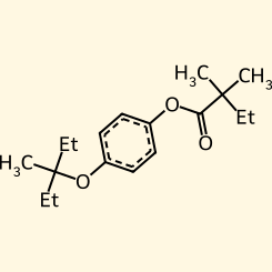 CCC(C)(CC)Oc1ccc(OC(=O)C(C)(C)CC)cc1